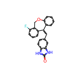 O=c1[nH]c2ccc(C=C3c4ccccc4OCc4c(F)cccc43)cc2[nH]1